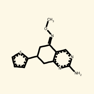 CO/N=C1\CC(c2cccs2)Cc2nc(N)ncc21